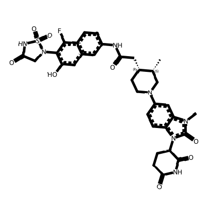 C[C@@H]1CN(c2ccc3c(c2)n(C)c(=O)n3C2CCC(=O)NC2=O)CC[C@@H]1CC(=O)Nc1ccc2c(F)c(N3CC(=O)NS3(=O)=O)c(O)cc2c1